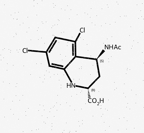 CC(=O)N[C@H]1C[C@H](C(=O)O)Nc2cc(Cl)cc(Cl)c21